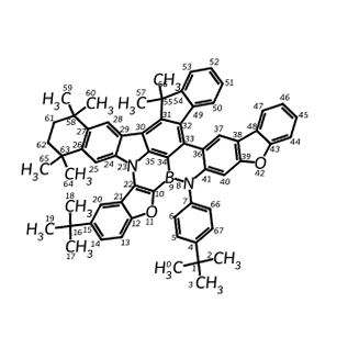 CC(C)(C)c1ccc(N2B3c4oc5ccc(C(C)(C)C)cc5c4-n4c5cc6c(cc5c5c7c(c(c3c54)-c3cc4c(cc32)oc2ccccc24)-c2ccccc2C7(C)C)C(C)(C)CCC6(C)C)cc1